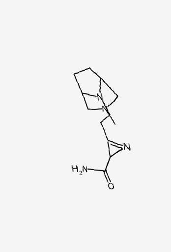 CN1CC2CCC(C1)N2CCC1=NC1C(N)=O